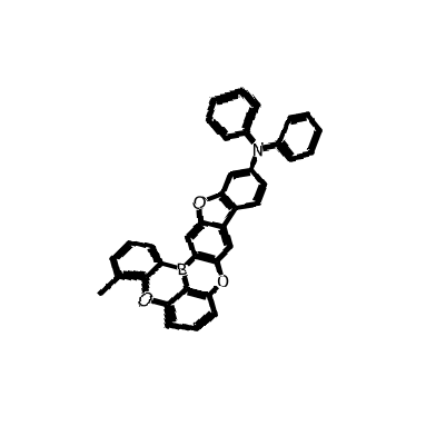 Cc1cccc2c1Oc1cccc3c1B2c1cc2oc4cc(N(c5ccccc5)c5ccccc5)ccc4c2cc1O3